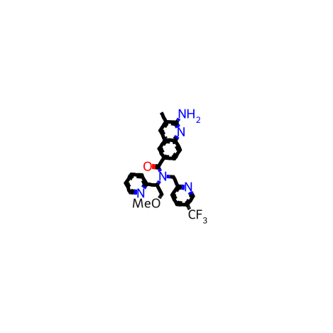 COCC(c1ccccn1)N(Cc1ccc(C(F)(F)F)cn1)C(=O)c1ccc2nc(N)c(C)cc2c1